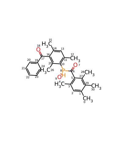 Cc1cc(C)c(C(=O)[PH](=O)c2c(C)cc(C)c(C(=O)c3ccccc3)c2C)c(C)c1C